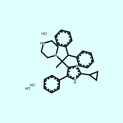 CC(c1nc(C2CC2)[nH]c1-c1ccccc1)(C(c1ccccc1)c1ccccc1)N1CCNCC1.Cl.Cl.Cl